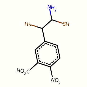 NC(S)C(S)c1ccc([N+](=O)[O-])c(C(=O)O)c1